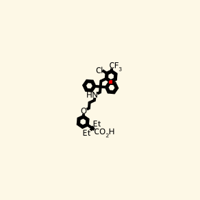 CCC(CC)(C(=O)O)c1cccc(OCCCNCC(Cc2cccc(C(F)(F)F)c2Cl)(c2ccccc2)c2ccccc2)c1